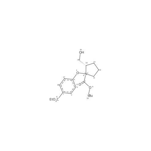 CCOC(=O)c1ccc(O[N+]2(C(=O)OC(C)(C)C)CCC[C@H]2CO)cc1